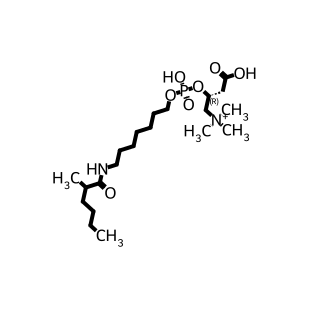 CCCCC(C)C(=O)NCCCCCCCOP(=O)(O)O[C@H](CC(=O)O)C[N+](C)(C)C